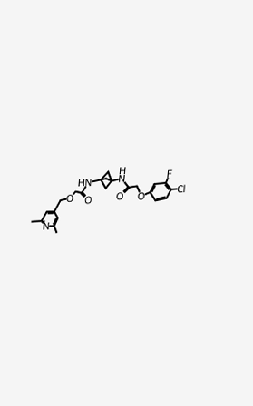 Cc1cc(COCC(=O)NC23CC(NC(=O)COc4ccc(Cl)c(F)c4)(C2)C3)cc(C)n1